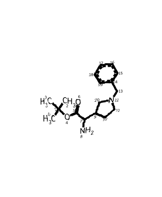 CC(C)(C)OC(=O)C(N)C1CCN(Cc2ccccc2)C1